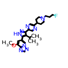 COc1cc(-c2[nH]nc(-c3cnc(C4CCN(CCCF)CC4)cn3)c2C(C)C)cn2ncnc12